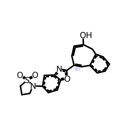 O=S1(=O)CCCN1c1ccc2oc(/C3=C/c4ccccc4CC(O)=C=C3)nc2c1